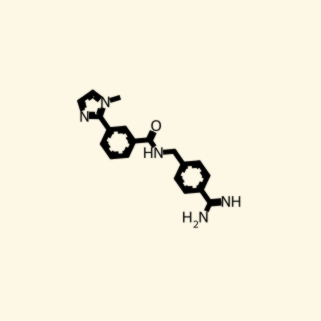 Cn1ccnc1-c1cccc(C(=O)NCc2ccc(C(=N)N)cc2)c1